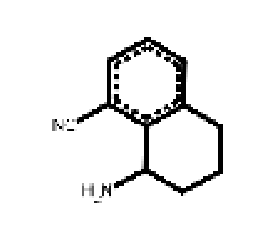 N#Cc1cccc2c1C(N)CCC2